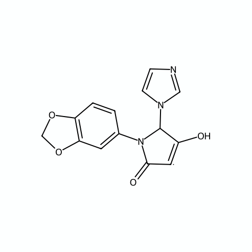 O=C1[C]=C(O)C(n2ccnc2)N1c1ccc2c(c1)OCO2